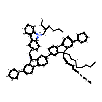 C=C=C=C=C=C=C=CC1(CCCCCCCC)c2cc(-c3ccccc3)ccc2-c2ccc(-c3ccc4c(c3)/C(=C\c3ccc5c(c3)c3ccccc3n5CC(CC)CCCC)c3cc(-c5ccccc5)ccc3-4)cc21